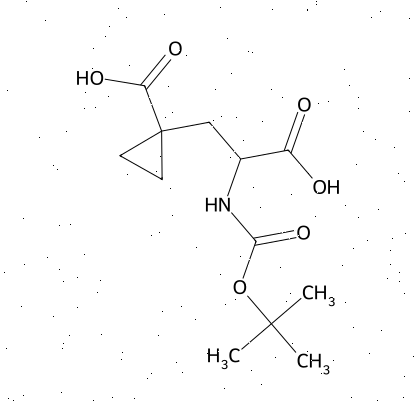 CC(C)(C)OC(=O)NC(CC1(C(=O)O)CC1)C(=O)O